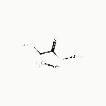 CCCC.CCCCCOC(=O)CC(=O)O